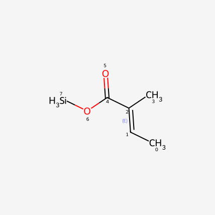 C/C=C(\C)C(=O)O[SiH3]